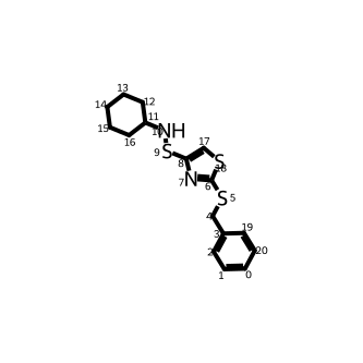 c1ccc(CSc2nc(SNC3CCCCC3)cs2)cc1